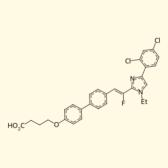 CCn1cc(-c2ccc(Cl)cc2Cl)nc1C(F)=Cc1ccc(-c2ccc(OCCCC(=O)O)cc2)cc1